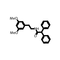 COc1cc(CCNC(=O)C(c2ccccc2)c2ccccc2)cc(OC)c1